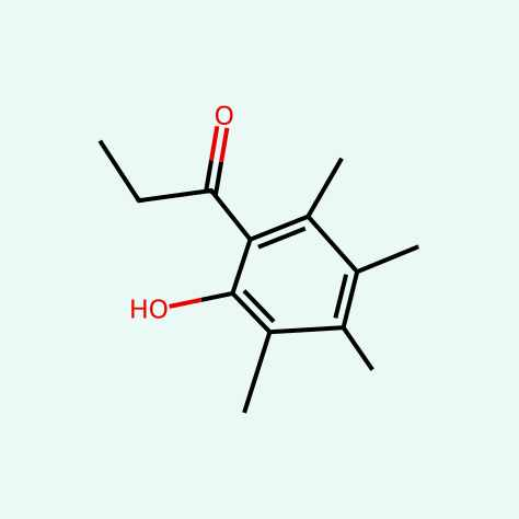 CCC(=O)c1c(C)c(C)c(C)c(C)c1O